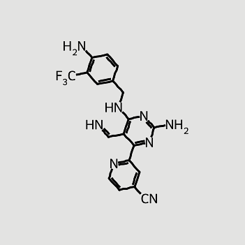 N#Cc1ccnc(-c2nc(N)nc(NCc3ccc(N)c(C(F)(F)F)c3)c2C=N)c1